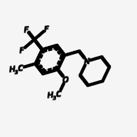 COc1cc(C)c(C(F)(F)F)cc1CN1CCCCC1